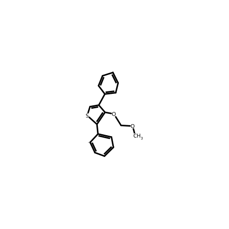 COCOc1c(-c2ccccc2)csc1-c1[c]cccc1